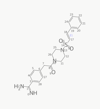 N=C(N)c1ccc(CC(=O)N2CCN(S(=O)(=O)/C=C/c3ccccc3)CC2)cc1